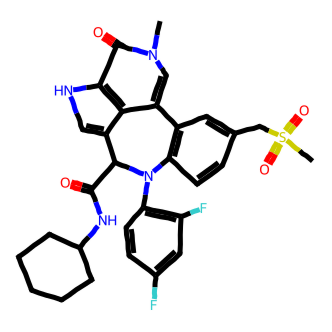 Cn1cc2c3c(c[nH]c3c1=O)C(C(=O)NC1CCCCC1)N(c1ccc(F)cc1F)c1ccc(CS(C)(=O)=O)cc1-2